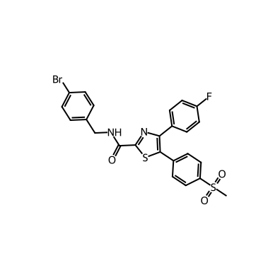 CS(=O)(=O)c1ccc(-c2sc(C(=O)NCc3ccc(Br)cc3)nc2-c2ccc(F)cc2)cc1